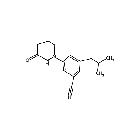 CC(C)Cc1cc(C#N)cc(N2CCCC(=O)N2)c1